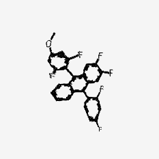 COc1cc(F)c(-c2c3ccccc3c(-c3ccc(F)cc3F)c3cc(F)c(F)cc23)c(F)c1